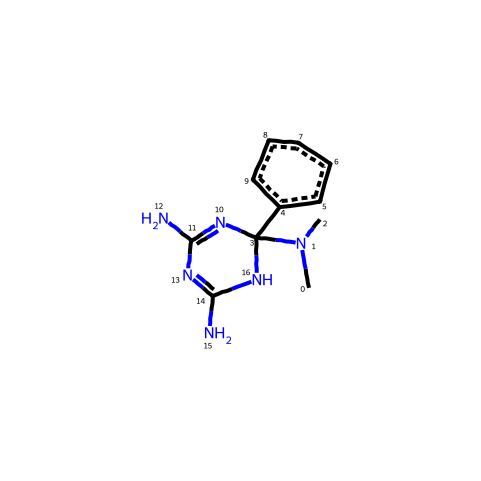 CN(C)C1(c2ccccc2)N=C(N)N=C(N)N1